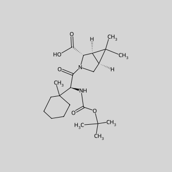 CC(C)(C)OC(=O)N[C@H](C(=O)N1C[C@H]2[C@@H]([C@H]1C(=O)O)C2(C)C)C1(C)CCCCC1